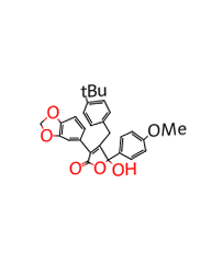 COc1ccc(C2(O)OC(=O)C(c3ccc4c(c3)OCO4)=C2Cc2ccc(C(C)(C)C)cc2)cc1